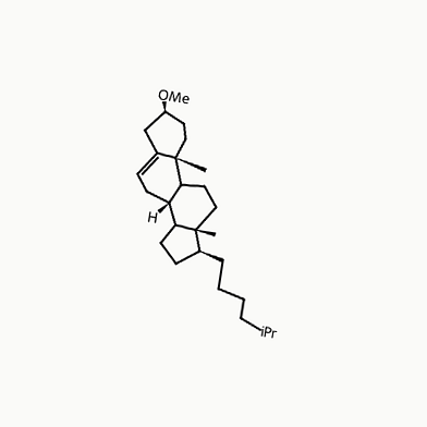 CO[C@H]1CC[C@@]2(C)C(=CC[C@@H]3C2CC[C@@]2(C)C3CC[C@@H]2CCCCC(C)C)C1